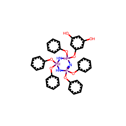 Oc1cc(O)cc(O[PH]2(Oc3ccccc3)N=P(Oc3ccccc3)(Oc3ccccc3)N[PH](Oc3ccccc3)(Oc3ccccc3)N2)c1